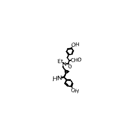 CCN(CC1=CC1C(=N)c1ccc(O)cc1)C(=O)C(C=O)Cc1ccc(O)cc1